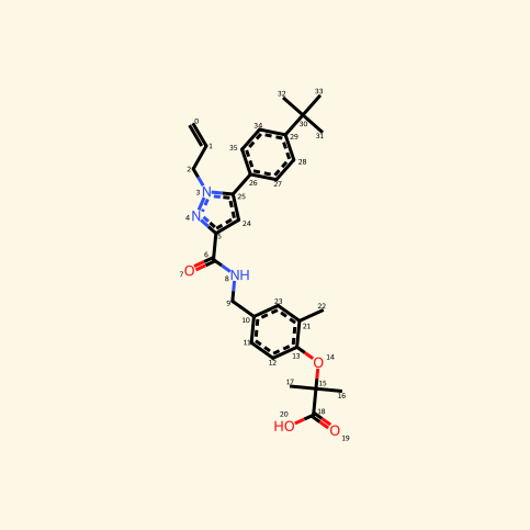 C=CCn1nc(C(=O)NCc2ccc(OC(C)(C)C(=O)O)c(C)c2)cc1-c1ccc(C(C)(C)C)cc1